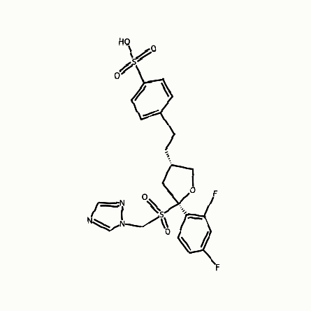 O=S(=O)(O)c1ccc(CC[C@@H]2CO[C@@](c3ccc(F)cc3F)(S(=O)(=O)Cn3cncn3)C2)cc1